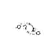 O=P1(S)OC[C@H]2O[C@@H](n3c(Cl)nc4cc(Cl)c(Cl)cc43)C(O)C2OP(=O)(S)OC[C@H]2O[C@@H](n3c(Cl)nc4cc(Cl)c(Cl)cc43)C(O1)C2O